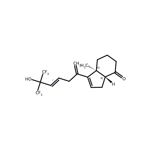 C=C(C/C=C/C(O)(C(F)(F)F)C(F)(F)F)C1=CC[C@H]2C(=O)CCC[C@]12C